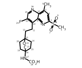 Cc1cc(S(C)(=O)=O)nc2c(CCC34CCC(NC(=O)O)(CC3)CO4)c(F)cnc12